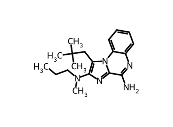 CCCN(C)c1nc2c(N)nc3ccccc3n2c1CC(C)(C)C